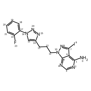 Nc1ncnc2c1c(I)nn2CCCc1cn(-c2ccccc2F)nn1